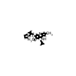 COc1cc2c(NCC3CC3)c3c(nc2cc1OCC1(CN2CCCC2)CC1)CC(C)C3